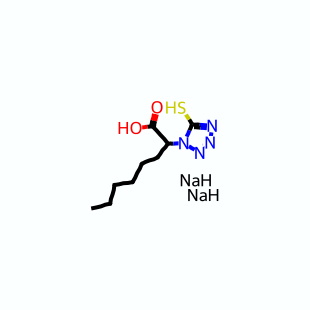 CCCCCCC(C(=O)O)n1nnnc1S.[NaH].[NaH]